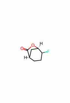 O=C1O[C@@H]2C[C@H]1CC[C@@H]2F